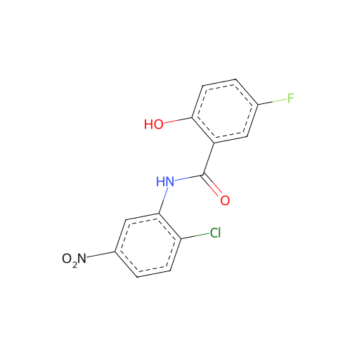 O=C(Nc1cc([N+](=O)[O-])ccc1Cl)c1cc(F)ccc1O